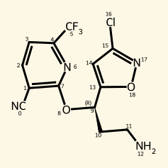 N#Cc1ccc(C(F)(F)F)nc1O[C@H](CCN)c1cc(Cl)no1